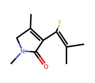 CC(C)=C(F)C1=C(C)CN(C)C1=O